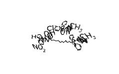 Cn1cc(P(=O)(c2ccccc2)c2ccccc2)cn1.Cn1cc([P+](CCCCCCCCCCCC(=O)NC(CO)C(O)c2ccc([N+](=O)[O-])cc2)(c2ccccc2)c2ccccc2)cn1.[Cl-]